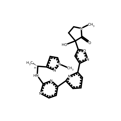 C[C@@H](Nc1nccc(-c2cccc(-c3cc(C4(O)CCN(C)C4=O)on3)n2)n1)c1ccn(C)n1